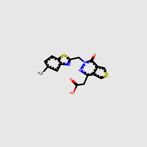 Cc1ccc2sc(Cn3nc(CC(=O)O)c4cscc4c3=O)nc2c1